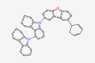 C1=CCC(c2ccc3oc4ccc(-n5c6ccccc6c6c(-n7c8ccccc8c8ccccc87)cccc65)cc4c3c2)C=C1